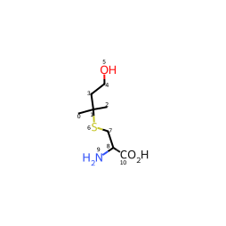 CC(C)(CCO)SCC(N)C(=O)O